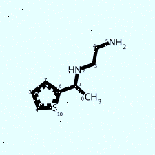 CC(NCCN)c1cccs1